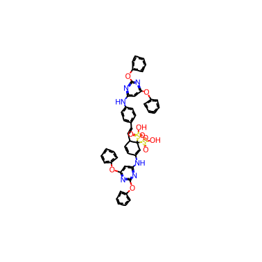 O=S(=O)(O)C1(S(=O)(=O)O)C=C(Nc2cc(Oc3ccccc3)nc(Oc3ccccc3)n2)C=CC1C=Cc1ccc(Nc2cc(Oc3ccccc3)nc(Oc3ccccc3)n2)cc1